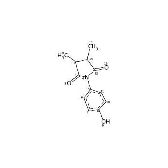 CC1C(=O)N(c2ccc(O)cc2)C(=O)C1C